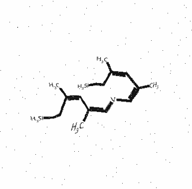 CC(=[CH][V][CH]=C(C)C=C(C)C[SiH3])C=C(C)C[SiH3]